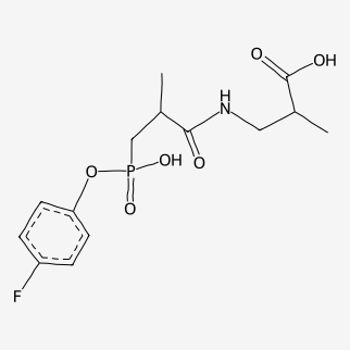 CC(CNC(=O)C(C)CP(=O)(O)Oc1ccc(F)cc1)C(=O)O